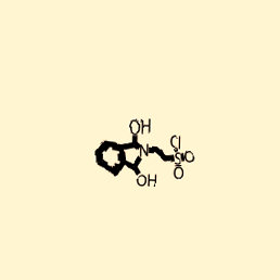 O=S(=O)(Cl)CCN1C(O)c2ccccc2C1O